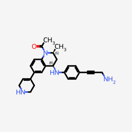 CC(=O)N1c2ccc(C3=CCNCC3)cc2[C@H](Nc2ccc(C#CCN)cc2)C[C@@H]1C